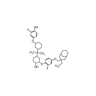 CCC1(COc2ccc(OC3CC(C(C)(C)C4CCCC(Oc5ccc(O)c(F)c5)C4)CCC3O)c(F)c2)CC2CCCC(C2)C1